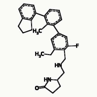 CCc1cc(-c2cccc(-c3cccc4c3CCC4)c2C)cc(F)c1CNCC1CCC(=O)N1